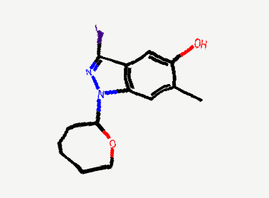 Cc1cc2c(cc1O)c(I)nn2C1CCCCO1